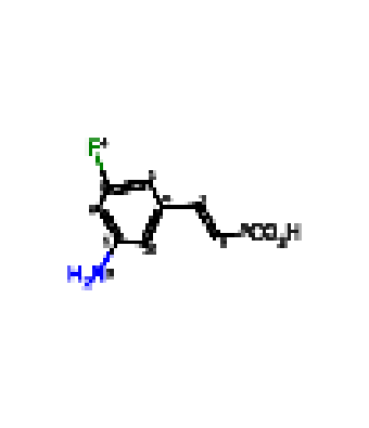 Nc1cc(F)cc(/C=C/C(=O)O)c1